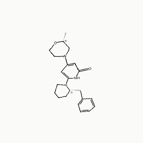 C[C@@H]1CN(c2cc(N3CCCC[C@H]3Cc3ccccc3)[nH]c(=O)c2)CCO1